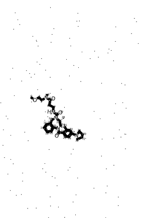 COCCN(C)C(=O)CCNC(=O)N1Cc2ccccc2N(C(=O)c2ccc(N3CCCC3)cc2Cl)C[C@H]1C